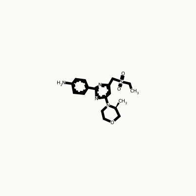 CCS(=O)(=O)Cc1cc(N2CCOC[C@@H]2C)nc(-c2ccc(N)cc2)n1